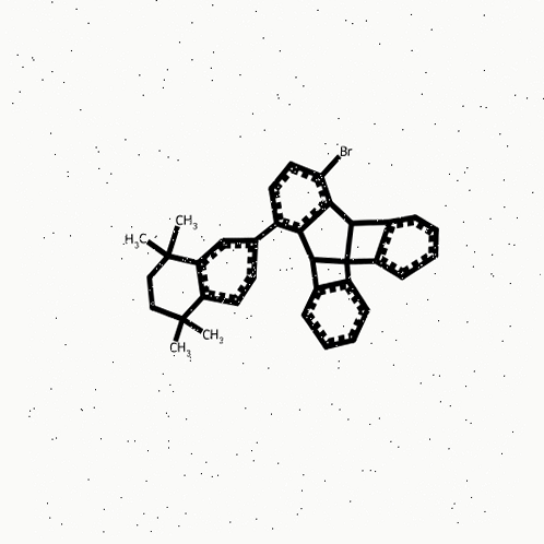 CC1(C)CCC(C)(C)c2cc(-c3ccc(Br)c4c3C3c5ccccc5C35c3ccccc3C45)ccc21